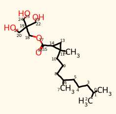 CC(C)CCCC(C)CCCC1(C)CC1C(=O)OCC(CO)(CO)CO